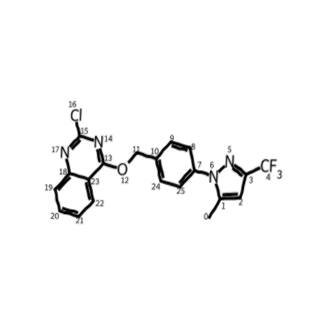 Cc1cc(C(F)(F)F)nn1-c1ccc(COc2nc(Cl)nc3ccccc23)cc1